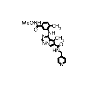 CONC(=O)c1ccc(C)c(Nc2ncnn3cc(C(=O)NCc4ccncc4)c(C)c23)c1